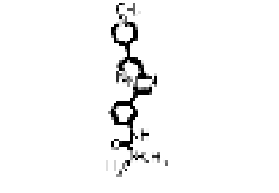 CN1CCC(c2cnn3c(-c4cccc(NC(=O)N(C)C)c4)cnc3c2)CC1